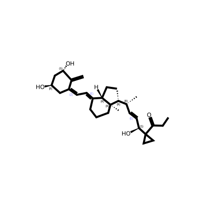 C=C1/C(=C\C=C2/CCC[C@]3(C)[C@@H]([C@H](C)/C=C/[C@H](O)C4(C(=O)CC)CC4)CC[C@@H]23)C[C@@H](O)C[C@@H]1O